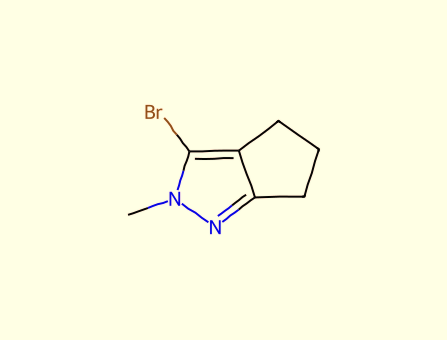 Cn1nc2c(c1Br)CCC2